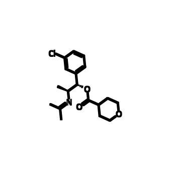 CC(C)=N[C@@H](C)[C@@H](OC(=O)C1CCOCC1)c1cccc(Cl)c1